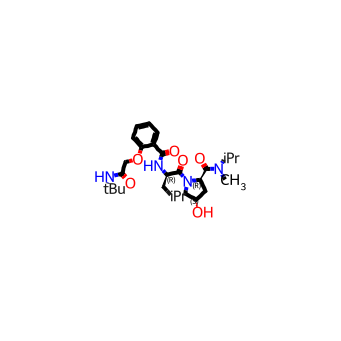 CC(C)C[C@@H](NC(=O)c1ccccc1OCC(=O)NC(C)(C)C)C(=O)N1C[C@@H](O)C[C@@H]1C(=O)N(C)C(C)C